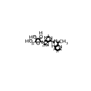 CC(=NNc1ncnc2c1ncn2[C@@H]1O[C@H](CO)C(O)C1O)c1ccccn1